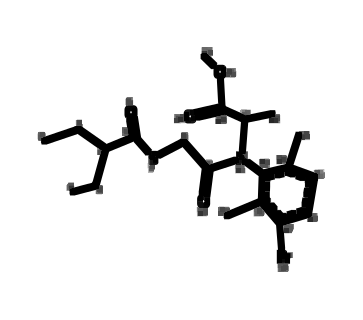 CCC(CC)C(=O)SCC(=O)N(c1c(C)ccc(Br)c1C)C(C)C(=O)OC